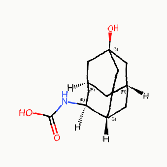 O=C(O)N[C@H]1[C@@H]2C[C@H]3C[C@H]1C[C@@](O)(C3)C2